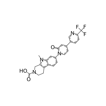 Cn1c2c(c3ccc(-n4ccc(-c5ccc(C(F)(F)F)nc5)cc4=O)cc31)CCN(C(=O)O)C2